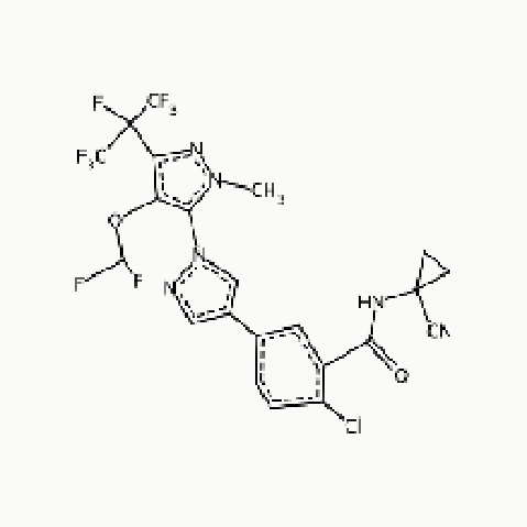 Cn1nc(C(F)(C(F)(F)F)C(F)(F)F)c(OC(F)F)c1-n1cc(-c2ccc(Cl)c(C(=O)NC3(C#N)CC3)c2)cn1